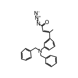 CC(=CC(=O)N=[N+]=[N-])c1cccc(N(Cc2ccccc2)Cc2ccccc2)c1